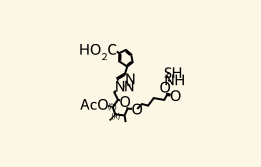 CC(=O)O[C@H]1C(Cn2cc(-c3cccc(C(=O)O)c3)nn2)OC(OCCCCC(=O)ONS)C(C)[C@H]1C